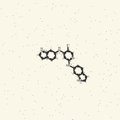 Fc1cnc(Nc2ccc3cc[nH]c3c2)cc1Nc1ccc2cc[nH]c2c1